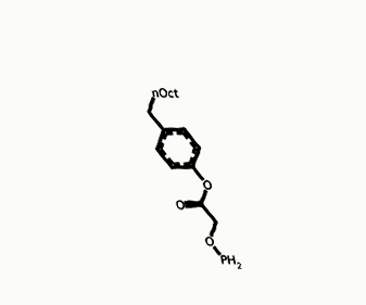 CCCCCCCCCc1ccc(OC(=O)COP)cc1